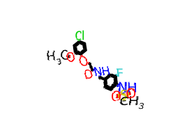 COc1cc(Cl)ccc1OCC(=O)NCc1ccc(NS(C)(=O)=O)c(F)c1